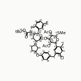 CS[C@H]1O[C@@H](c2cc(Cc3ccc(O[C@@H]4CCN([C@H]5CO[C@H](c6cc(F)ccc6F)[C@@H](NC(=O)OC(C)(C)C)C5)C4)cc3)c(Cl)cc2C)[C@H](OC(C)=O)[C@@H](OC(C)=O)[C@@H]1OC(C)=O